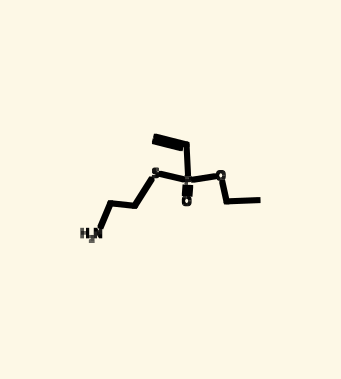 C=CP(=O)(OCC)SCCN